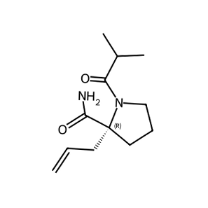 C=CC[C@@]1(C(N)=O)CCCN1C(=O)C(C)C